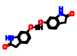 O=C1Cc2ccc(OBOc3ccc4c(c3)NC(=O)C4)cc2N1